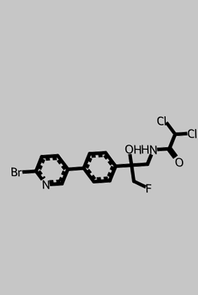 O=C(NCC(O)(CF)c1ccc(-c2ccc(Br)nc2)cc1)C(Cl)Cl